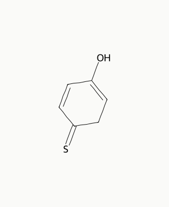 OC1=CCC(=S)C=C1